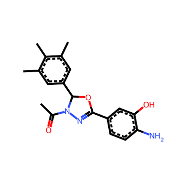 CC(=O)N1N=C(c2ccc(N)c(O)c2)OC1c1cc(C)c(C)c(C)c1